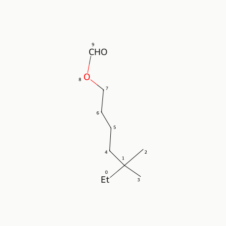 CCC(C)(C)CCCCOC=O